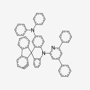 c1ccc2c(c#1)C1(c3ccccc3-2)c2ccccc2N(c2cc(-c3ccccc3)cc(-c3ccccc3)n2)c2ccc(N(c3ccccc3)c3ccccc3)cc21